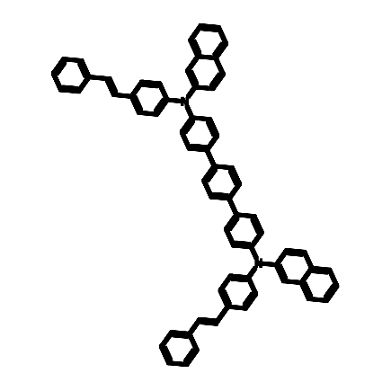 C(=Cc1ccc(N(c2ccc(-c3ccc(-c4ccc(N(c5ccc(C=Cc6ccccc6)cc5)c5ccc6ccccc6c5)cc4)cc3)cc2)c2ccc3ccccc3c2)cc1)c1ccccc1